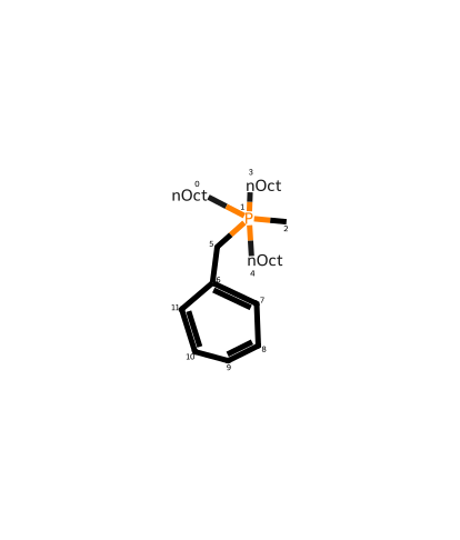 CCCCCCCCP(C)(CCCCCCCC)(CCCCCCCC)Cc1ccccc1